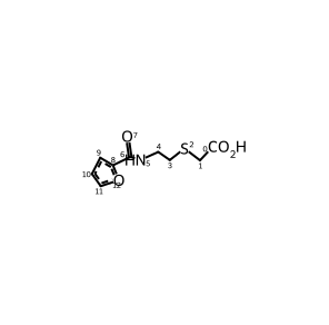 O=C(O)CSCCNC(=O)c1ccco1